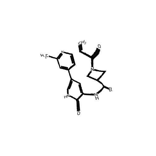 C=CC(=O)N1CC(C(CC)Nc2cc(-c3ccnc(C)c3)c[nH]c2=O)C1